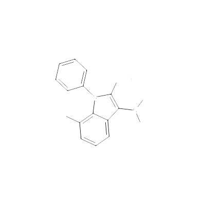 CCN(CC)c1c(C(=O)O)n(-c2ccccc2)c2c(Cl)cccc12